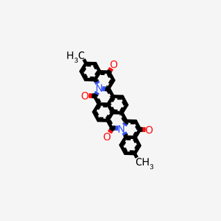 Cc1ccc2c(c1)c(=O)cc1c3ccc4c5c(ccc(c(=O)n21)c35)c(=O)n1c2ccc(C)cc2c(=O)cc41